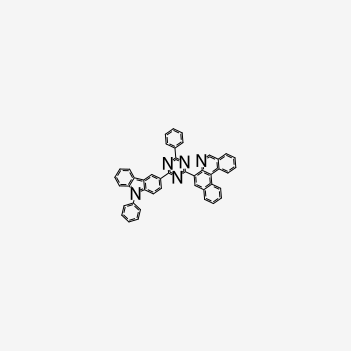 c1ccc(-c2nc(-c3ccc4c(c3)c3ccccc3n4-c3ccccc3)nc(-c3cc4ccccc4c4c3ncc3ccccc34)n2)cc1